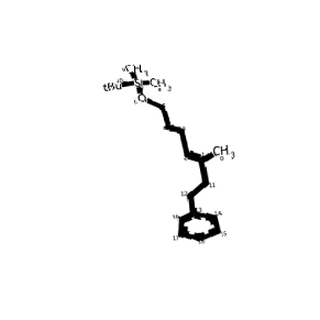 CC(=CCCCO[Si](C)(C)C(C)(C)C)CCc1ccccc1